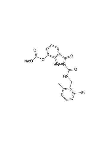 COC(=O)Oc1cccc2c(=O)n(C(=O)NCc3c(C)cccc3C(C)C)[nH]c12